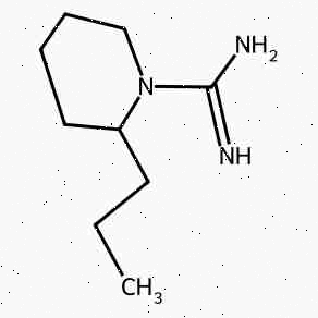 CCCC1CCCCN1C(=N)N